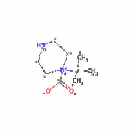 CC(C)(C)[N+]1(C(=O)[O-])CCNCC1